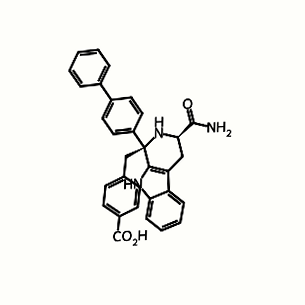 NC(=O)[C@H]1Cc2c([nH]c3ccccc23)[C@](Cc2ccc(C(=O)O)cc2)(c2ccc(-c3ccccc3)cc2)N1